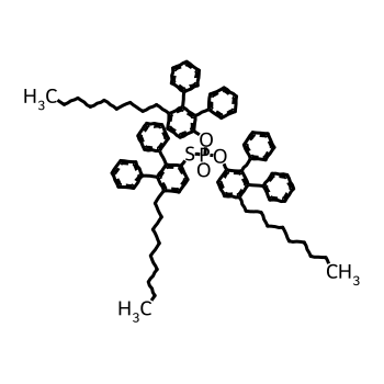 CCCCCCCCCc1ccc(OP(=O)(Oc2ccc(CCCCCCCCC)c(-c3ccccc3)c2-c2ccccc2)Sc2ccc(CCCCCCCCC)c(-c3ccccc3)c2-c2ccccc2)c(-c2ccccc2)c1-c1ccccc1